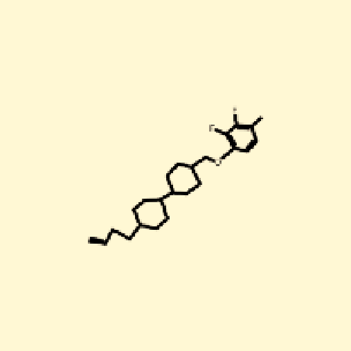 C=CCCC1CCC(C2CCC(COc3ccc(C)c(F)c3F)CC2)CC1